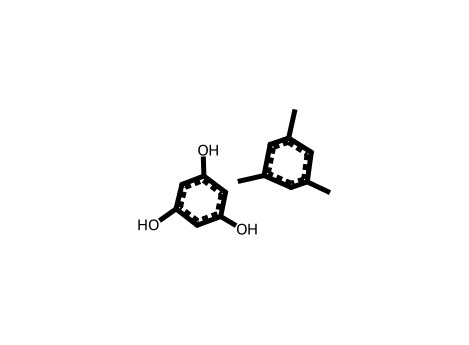 Cc1cc(C)cc(C)c1.Oc1cc(O)cc(O)c1